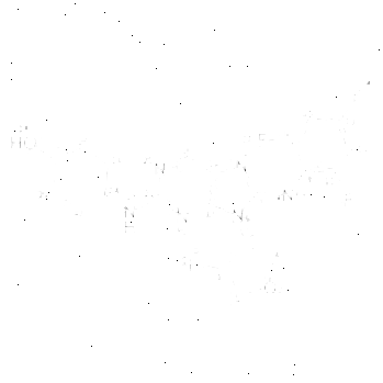 [2H]C1COCC1n1c(Nc2c(F)cc(F)cc2F)nc2cnc(NC3CCC(O)CC3)nc21